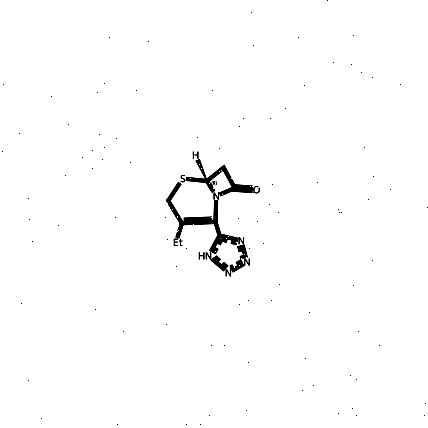 CCC1=C(c2nnn[nH]2)N2C(=O)C[C@H]2SC1